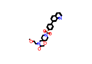 COCCN1CC2(CCN(S(=O)(=O)c3ccc(-c4ccc5cccnc5c4)cc3)CC2)OCC1=O